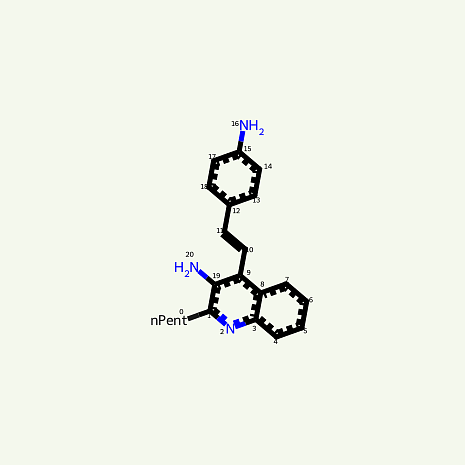 CCCCCc1nc2ccccc2c(C=Cc2ccc(N)cc2)c1N